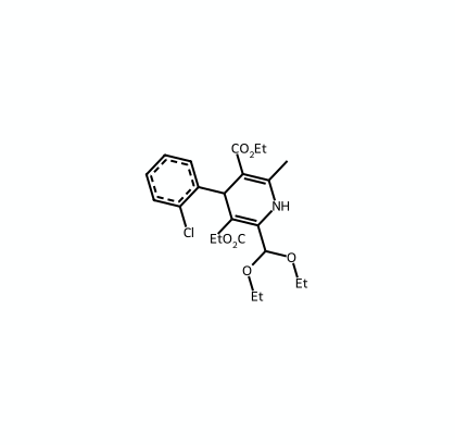 CCOC(=O)C1=C(C)NC(C(OCC)OCC)=C(C(=O)OCC)C1c1ccccc1Cl